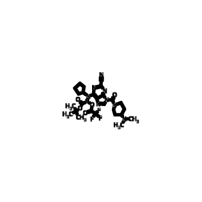 CN(C)C1CCN(C(=O)n2cnc3c(N(C4CCCC4)N(OC(=O)C(F)(F)F)C(=O)OC(C)(C)C)nc(C#N)nc32)CC1